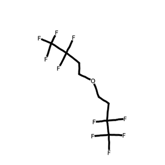 FC(F)(F)C(F)(F)CCOCCC(F)(F)C(F)(F)F